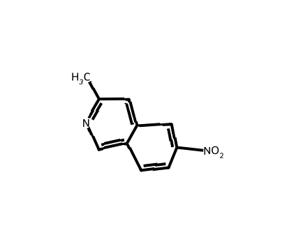 Cc1cc2cc([N+](=O)[O-])ccc2cn1